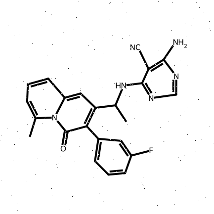 Cc1cccc2cc(C(C)Nc3ncnc(N)c3C#N)c(-c3cccc(F)c3)c(=O)n12